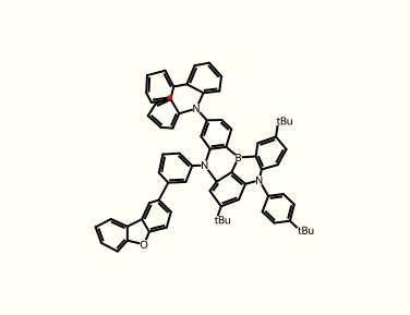 CC(C)(C)c1ccc(N2c3ccc(C(C)(C)C)cc3B3c4ccc(N(c5ccccc5)c5ccccc5-c5ccccc5)cc4N(c4cccc(-c5ccc6oc7ccccc7c6c5)c4)c4cc(C(C)(C)C)cc2c43)cc1